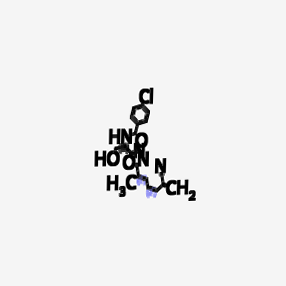 C=C(C#N)/C=C\C=C(/C)c1nnc([C@@H](CO)NC(=O)c2ccc(Cl)cc2)o1